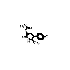 CC1NC(=O)C(OC(N)=O)CC1c1ccc(Cl)cc1